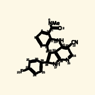 CNC(=O)c1cccc(C)c1Nc1c(C#N)cnc2[nH]c(-c3ccc(F)cc3)cc12